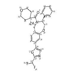 CC1(C(=O)N2Cc3ccc(-c4nnc(C(F)F)o4)cc3OC[C@@H]2c2ccccc2)CCOCC1